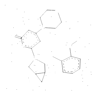 COc1ccccc1C[C@@H]1[C@H]2C[C@H]2CN1c1cc(N2CCOCC2)cc(=O)[nH]1